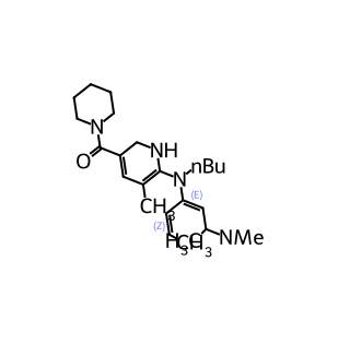 C/C=C\C(=C/C(C)NC)N(CCCC)C1=C(C)C=C(C(=O)N2CCCCC2)CN1